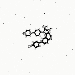 Cn1c(=N)n(C2CCC(N3CCNCC3)CC2)c2c3cc(-c4ccc(Cl)cc4)ccc3ncc21